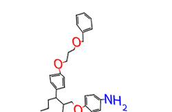 CCCC(c1ccc(OCCCOCc2ccccc2)cc1)C(CC)COc1ccc(N)cc1